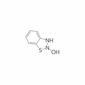 ON1Nc2ccccc2S1